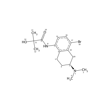 CN(C)[C@H]1CCc2c(NC(=O)C(C)(C)O)ccc(Br)c2C1